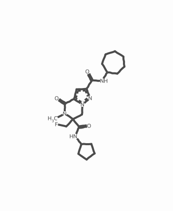 CN1C(=O)c2cc(C(=O)NC3CCCCCC3)nn2CC1(CF)C(=O)NC1CCCC1